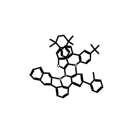 Cc1ccccc1-c1cc2c3c(c1)N(c1ccc(C(C)(C)C)cc1-c1ccccc1)c1c(oc4cc5c(cc14)C(C)(C)CCC5(C)C)B3n1c3cc4ccccc4cc3c3cccc-2c31